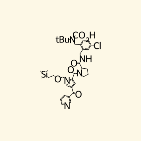 CC(C)(C)N(Cc1ccc(Cl)cc1CNC(=O)C1CCCN1C(=O)c1cc(C(=O)c2cccnc2)cn1COCC[Si](C)(C)C)C(=O)O